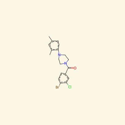 Cc1ccc(N2CCN(C(=O)c3ccc(Br)c(Cl)c3)CC2)c(C)c1